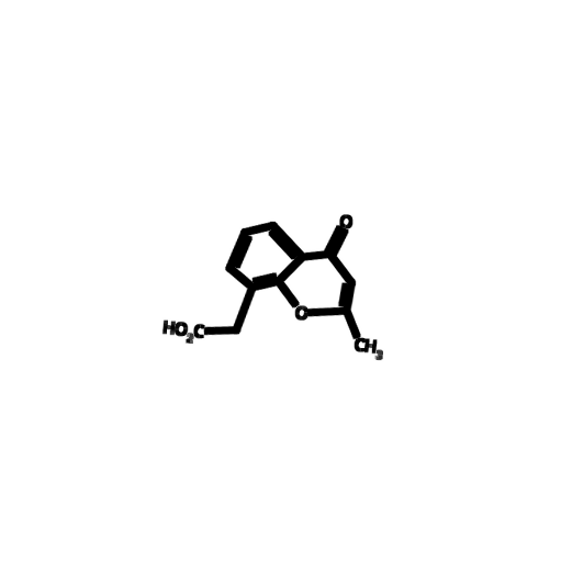 Cc1cc(=O)c2cccc(CC(=O)O)c2o1